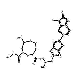 CO[C@H]1CCO[C@H](C(=O)NC(C#N)Cc2cc3sc(-c4ccc5oc(=O)n(C)c5c4)cc3s2)CN(C(=O)OC(C)(C)C)C1